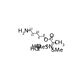 CSN(SC)C(C)C(=O)OCCCCCN.Cl.Cl